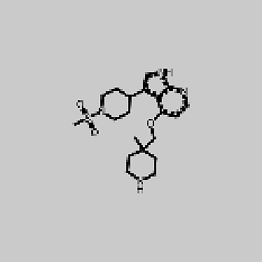 CC1(COc2ccnc3[nH]cc(C4CCN(S(C)(=O)=O)CC4)c23)CCNCC1